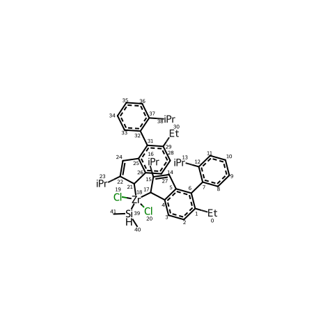 CCc1ccc2c(c1-c1ccccc1C(C)C)C=C(C(C)C)[CH]2[Zr]([Cl])([Cl])([CH]1C(C(C)C)=Cc2c1ccc(CC)c2-c1ccccc1C(C)C)[SiH](C)C